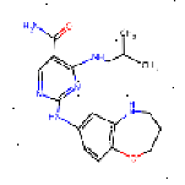 CC(C)CNc1nc(Nc2ccc3c(c2)NCCCO3)ncc1C(N)=O